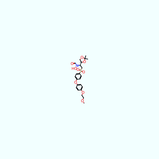 COCCOc1ccc(Oc2ccc(S(=O)(=O)CC([C@H]3COC(C)(C)O3)N(O)C=O)cc2)cc1